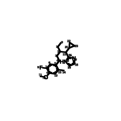 CCC(CCc1cc(F)c(OC)cc1C)C(c1ncc[nH]1)C1CC1